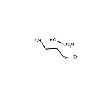 CCOCCN.O=C(O)O